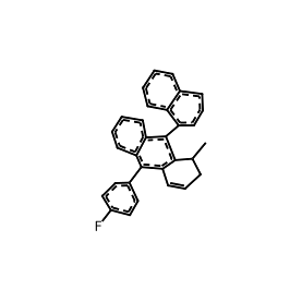 CC1CC=Cc2c1c(-c1cccc3ccccc13)c1ccccc1c2-c1ccc(F)cc1